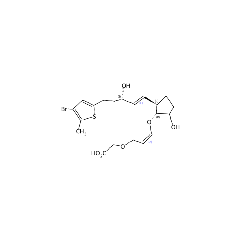 Cc1sc(CC[C@H](O)/C=C/[C@H]2CCC(O)[C@@H]2O/C=C\COCC(=O)O)cc1Br